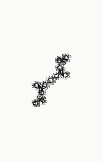 c1ccc(N(c2ccc(-c3ccc(-c4ccc(N(c5ccccc5)c5ccc(-c6cccc7c6sc6ccccc67)cc5)cc4)cc3)cc2)c2ccc(-c3cccc4c3sc3ccccc34)cc2)cc1